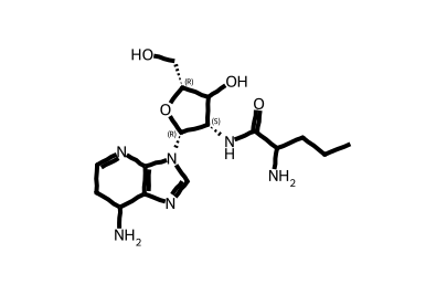 CCCC(N)C(=O)N[C@H]1C(O)[C@@H](CO)O[C@H]1n1cnc2c1N=CCC2N